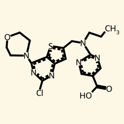 CCCN(Cc1cc2nc(Cl)nc(N3CCOCC3)c2s1)c1ncc(C(=O)O)cn1